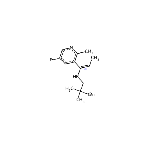 C/C=C(/BCC(C)(C)C(C)(C)C)c1cc(F)cnc1C